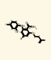 C=C(C)CCOc1cc(F)cc(Nc2ccc(I)cc2F)c1C(N)=O